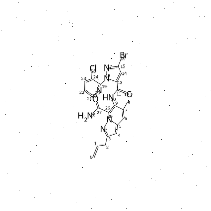 C=CCc1cc2cc(C)c(NC(=O)c3cc(Br)nn3-c3ncccc3Cl)c(C(N)=O)n2n1